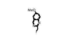 COc1ccc2nc(CI)ncc2c1